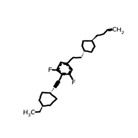 C=CCC[C@H]1CC[C@H](CCc2cc(F)c(C#C[C@H]3CC[C@H](CC)CC3)c(F)c2)CC1